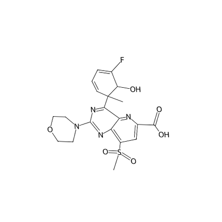 CC1(c2nc(N3CCOCC3)nc3c(S(C)(=O)=O)cc(C(=O)O)nc23)C=CC=C(F)C1O